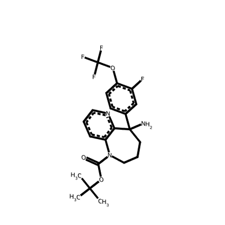 CC(C)(C)OC(=O)N1CCCC(N)(c2ccc(OC(F)(F)F)c(F)c2)c2ncccc21